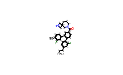 COCCc1ccc(-c2ccc(C(=O)N3CCCC4(CNC4)C3)cc2-c2ccc(C#N)c(F)c2)c(F)c1